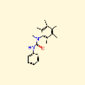 Cc1c(C)c(C)c(N(C)C(=O)Nc2ccccc2)c(C)c1C